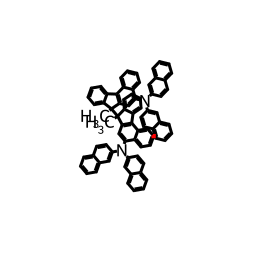 CC1(C2(C)c3ccccc3-c3c2cc(N(c2ccc4ccccc4c2)c2ccc4ccccc4c2)c2ccccc32)c2ccccc2-c2c1cc(N(c1ccc3ccccc3c1)c1ccc3ccccc3c1)c1ccccc21